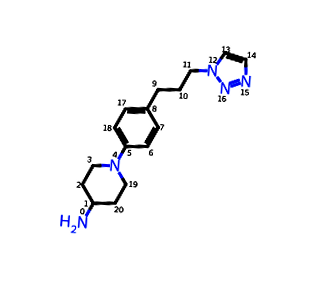 NC1CCN(c2ccc(CCCn3ccnn3)cc2)CC1